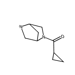 O=C(C1CC1)N1CC2CC1C[N]2